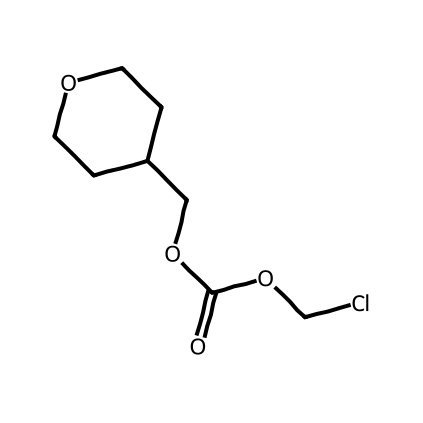 O=C(OCCl)OCC1CCOCC1